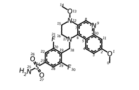 COc1ccc2c3c(cnc2c1)N(OC)CCN3Cc1c(F)cc(S(N)(=O)=O)cc1F